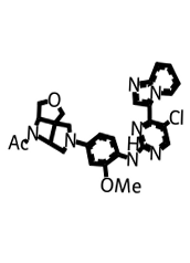 COc1cc(N2CC3N(C(C)=O)C4COCC43C2)ccc1Nc1ncc(Cl)c(-c2cnc3ccccn23)n1